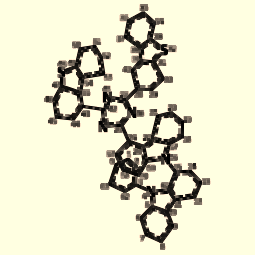 c1ccc(-n2c3ccccc3c3cccc(-n4c5ccccc5c5c(-c6nc(-c7ccc8sc9ccccc9c8c7)nc(-c7cccc8sc9ccccc9c78)n6)cccc54)c32)cc1